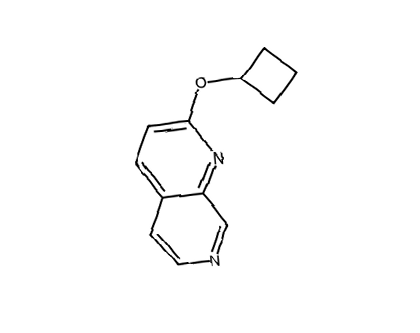 c1cc2ccc(OC3CCC3)nc2cn1